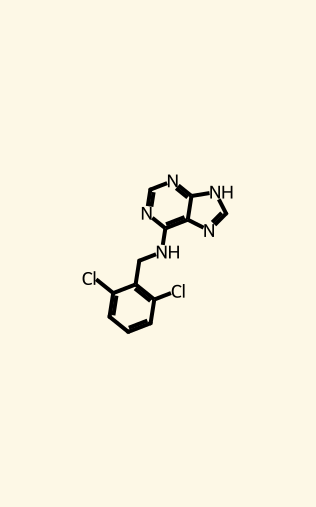 Clc1cccc(Cl)c1CNc1ncnc2[nH]cnc12